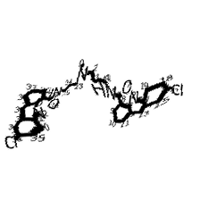 CN(CCCNC(=O)c1cccc2cc3cc(Cl)ccc3nc12)CCCNC(=O)c1cccc2cc3cc(Cl)ccc3nc12